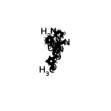 COc1cccc(C(=O)Cn2cnc3c(C#N)c(N4CCC[C@H](N)C4)n(-c4ccccn4)c3c2=O)c1